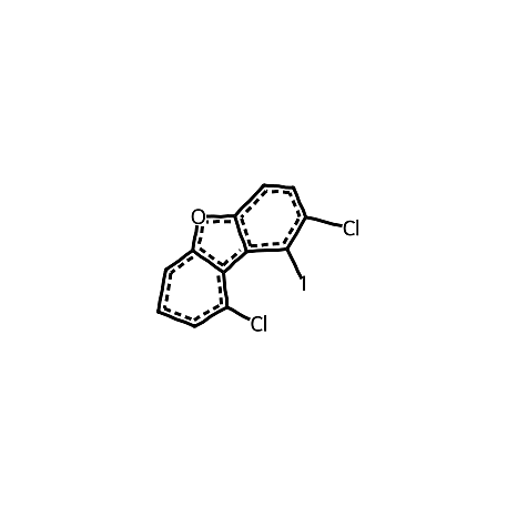 Clc1ccc2oc3cccc(Cl)c3c2c1I